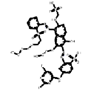 O=S(=O)(O)CNc1ccc2c(O)c(/N=N/c3cc(Nc4cc(F)nc(F)n4)ccc3S(=O)(=O)O)c(SOOO)cc2c1/N=N/c1ccccc1S(=O)(=O)CCOSOOO